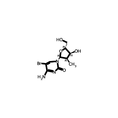 C[C@@H]1[C@H](O)[C@@H](CO)O[C@H]1n1cc(Br)c(N)nc1=O